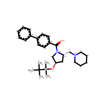 CC(C)(C)[Si](C)(C)O[C@@H]1C[C@@H](CN2CCCCC2)N(C(=O)c2ccc(-c3ccccc3)cc2)C1